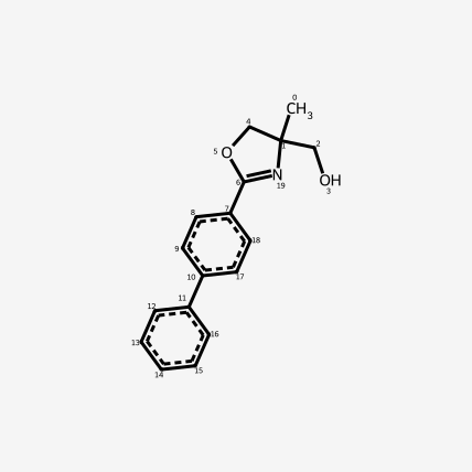 CC1(CO)COC(c2ccc(-c3ccccc3)cc2)=N1